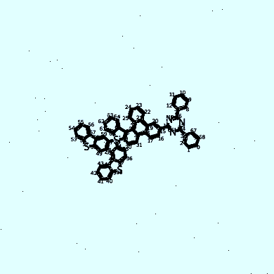 c1ccc(-c2nc(-c3ccccc3)nc(-c3ccc4c(c3)c3ccccc3c3c5c(ccc43)[Si](c3ccc4sc6ccccc6c4c3)(c3ccc4sc6ccccc6c4c3)c3ccccc3-5)n2)cc1